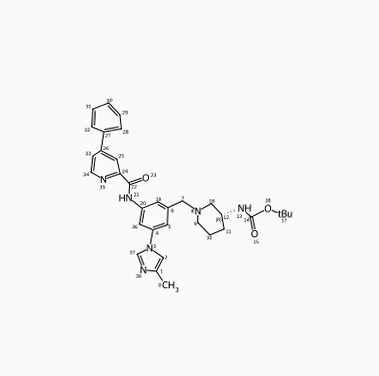 Cc1cn(-c2cc(CN3CCC[C@@H](NC(=O)OC(C)(C)C)C3)cc(NC(=O)c3cc(-c4ccccc4)ccn3)c2)cn1